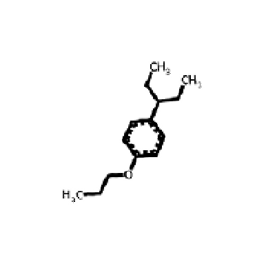 CCCOc1ccc(C(CC)CC)cc1